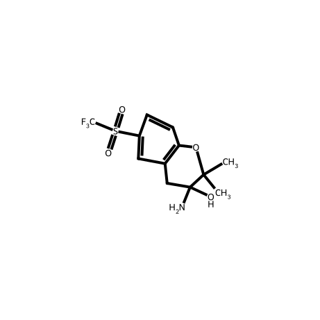 CC1(C)Oc2ccc(S(=O)(=O)C(F)(F)F)cc2CC1(N)O